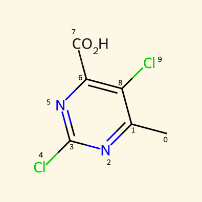 Cc1nc(Cl)nc(C(=O)O)c1Cl